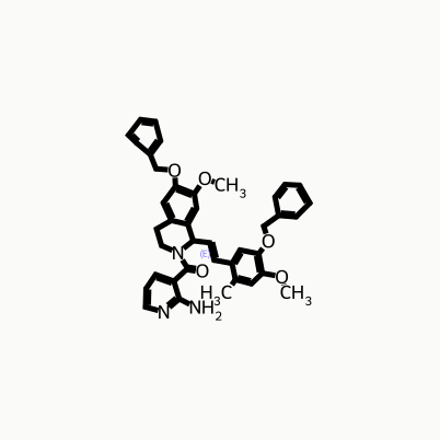 COc1cc(C)c(/C=C/C2c3cc(OC)c(OCc4ccccc4)cc3CCN2C(=O)c2cccnc2N)cc1OCc1ccccc1